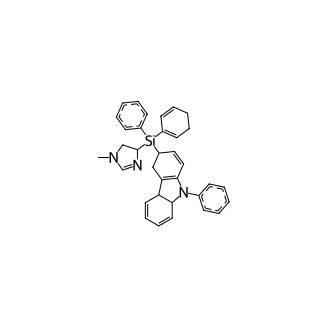 CN1C=NC([Si](C2=CCCC=C2)(c2ccccc2)C2C=CC3=C(C2)C2C=CC=CC2N3c2ccccc2)C1